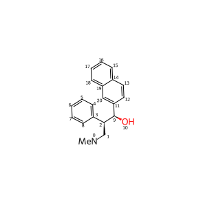 CNC[C@@H](c1ccccc1)[C@H](O)c1ccc2ccccc2c1